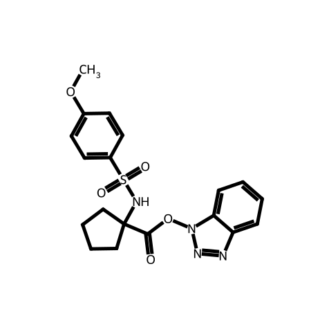 COc1ccc(S(=O)(=O)NC2(C(=O)On3nnc4ccccc43)CCCC2)cc1